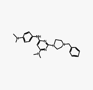 CN(C)c1ccc(Nc2cc(N(C)C)nc(N3CCN(Cc4ccccc4)CC3)n2)cc1